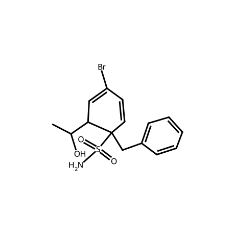 CC(O)C1C=C(Br)C=CC1(Cc1ccccc1)S(N)(=O)=O